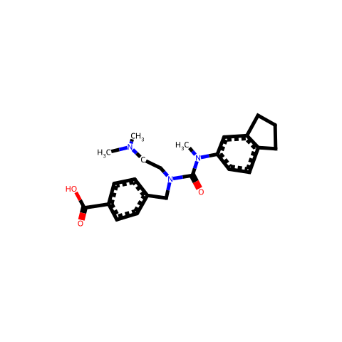 CN(C)CCN(Cc1ccc(C(=O)O)cc1)C(=O)N(C)c1ccc2c(c1)CCC2